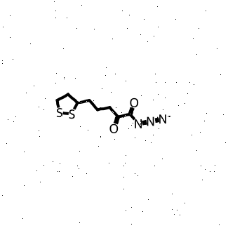 [N-]=[N+]=NC(=O)C(=O)CCCC1CCSS1